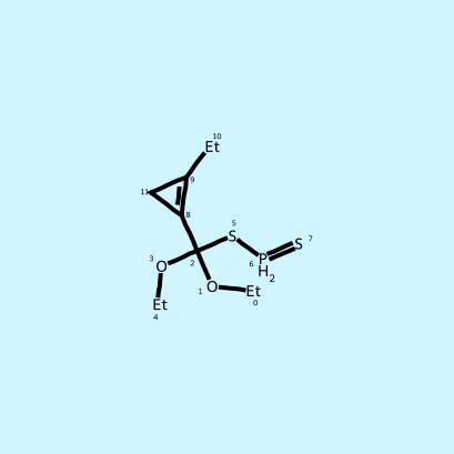 CCOC(OCC)(S[PH2]=S)C1=C(CC)C1